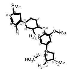 CCCCOc1cc(N2C[C@H](OC)[C@@H](C)[C@@H]2CC(=O)O)cnc1OC1CCN(c2cc(OC)ncc2Cl)CC1C